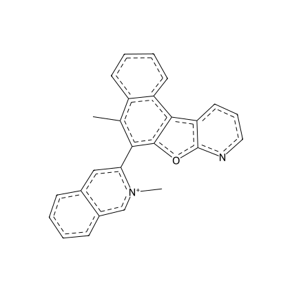 Cc1c(-c2cc3ccccc3c[n+]2C)c2oc3ncccc3c2c2ccccc12